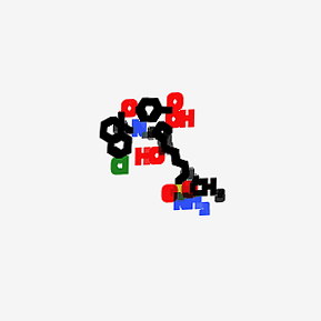 CC[C@@H](CC=C[C@H](O)[C@@H]1CC[C@H]1CN1C[C@@]2(CCCc3cc(Cl)ccc32)COc2ccc(C(=O)O)cc21)CS(N)(=O)=O